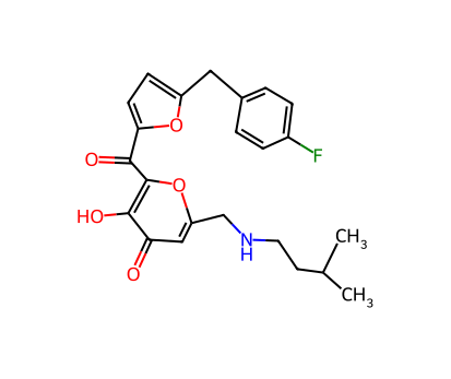 CC(C)CCNCc1cc(=O)c(O)c(C(=O)c2ccc(Cc3ccc(F)cc3)o2)o1